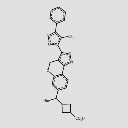 CC(C)(C)C(c1ccc2c(c1)OCc1c-2noc1-c1onc(-c2ccccc2)c1C(F)(F)F)N1CC(C(=O)O)C1